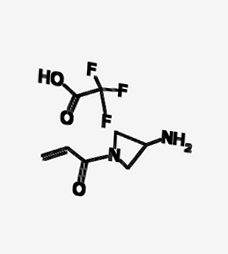 C=CC(=O)N1CC(N)C1.O=C(O)C(F)(F)F